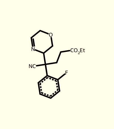 CCOC(=O)CCC(C#N)(c1ccccc1F)C1COCC=N1